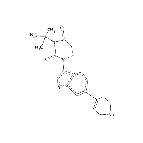 CC(C)(C)N1C(=O)CCN(c2cnc3cc(C4=CCNCC4)ccn23)C1=O